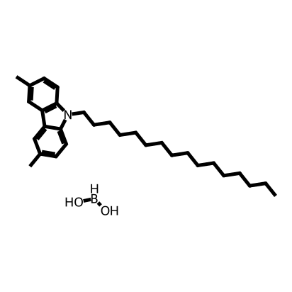 CCCCCCCCCCCCCCCCn1c2ccc(C)cc2c2cc(C)ccc21.OBO